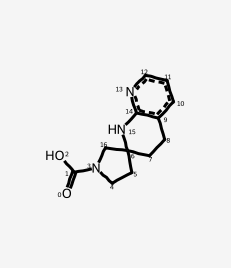 O=C(O)N1CCC2(CCc3cccnc3N2)C1